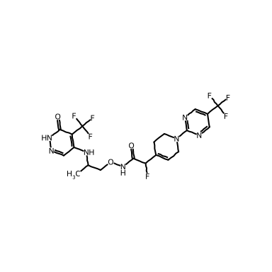 CC(CONC(=O)C(F)C1=CCN(c2ncc(C(F)(F)F)cn2)CC1)Nc1cn[nH]c(=O)c1C(F)(F)F